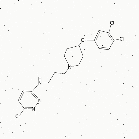 Clc1ccc(NCCCN2CCC(Oc3ccc(Cl)c(Cl)c3)CC2)nn1